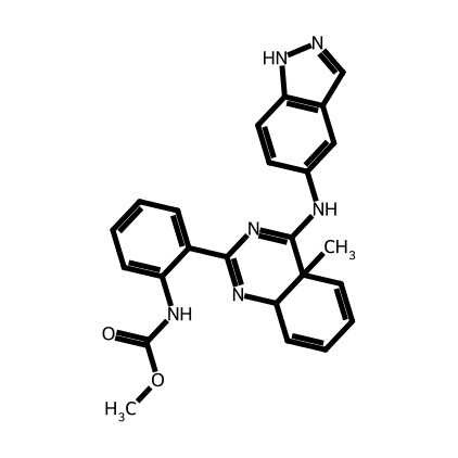 COC(=O)Nc1ccccc1C1=NC2C=CC=CC2(C)C(Nc2ccc3[nH]ncc3c2)=N1